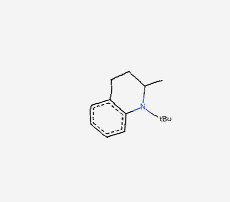 CC1CCc2ccccc2N1C(C)(C)C